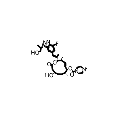 C/C(=C\c1cc(F)c2nnn(C(C)CO)c2c1)[C@H]1OC(=O)C[C@@H](O)CC[C@@H](C)[C@@H](OC(=O)N2CCN(C)CC2)/C=C/[C@@H]1C